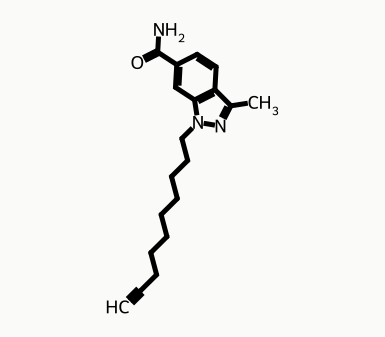 C#CCCCCCCCCn1nc(C)c2ccc(C(N)=O)cc21